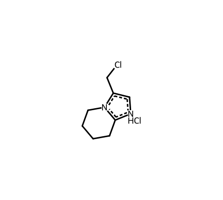 Cl.ClCc1cnc2n1CCCC2